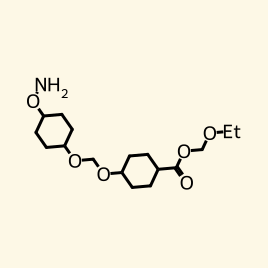 CCOCOC(=O)C1CCC(OCOC2CCC(ON)CC2)CC1